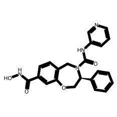 O=C(NO)c1ccc2c(c1)OC[C@H](c1ccccc1)N(C(=O)Nc1cccnc1)C2